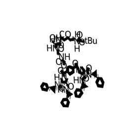 CC(C)(C)OC(=O)NCCCC[C@H](NC(=O)[C@H](CO)NC(=O)CNC(=O)COc1cc(C(=O)N2C[C@@H](C(=O)N[C@H]3C[C@@H]3c3ccccc3)[C@H](C(=O)N[C@H]3C[C@@H]3c3ccccc3)C2)ccc1C(=O)N1C[C@@H](C(=O)N[C@H]2C[C@@H]2c2ccccc2)[C@H](C(=O)N[C@H]2C[C@@H]2c2ccccc2)C1)C(=O)O